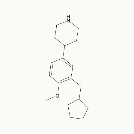 COc1ccc(C2CCNCC2)cc1CC1CCCC1